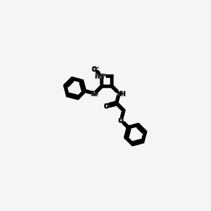 O=C(COc1ccccc1)NC1C[NH+]([O-])C1[Se]c1ccccc1